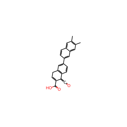 Cc1cc2ccc(-c3ccc4c(c3)CC=C(C(=O)O)C4=C=O)cc2cc1C